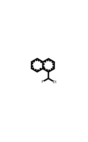 [CH2]CC(F)c1cccc2ccccc12